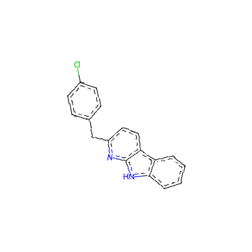 Clc1ccc(Cc2ccc3c(n2)[nH]c2ccccc23)cc1